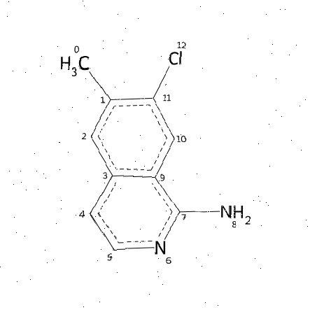 Cc1cc2ccnc(N)c2cc1Cl